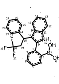 OB(O)c1ccccc1-c1[nH]c2ccccc2c1C(CC(F)(F)F)c1ccccc1